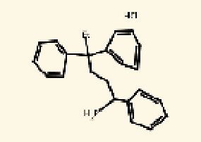 CCC(CCC(P)c1ccccc1)(c1ccccc1)c1ccccc1.Cl